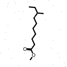 CCC(C)CCCCCCC(=O)OC